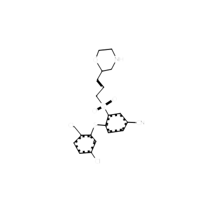 N#Cc1ccc(Sc2cc(Cl)ccc2Cl)c(S(=O)(=O)CC=CC2CNCCO2)c1